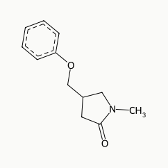 CN1CC(COc2ccccc2)CC1=O